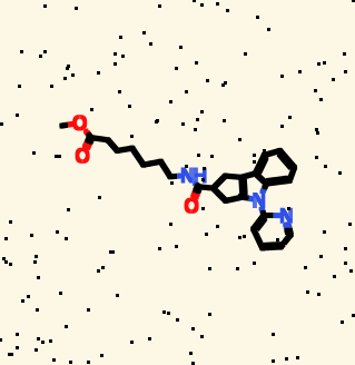 COC(=O)CCCCCCNC(=O)C1Cc2c(n(-c3ccccn3)c3ccccc23)C1